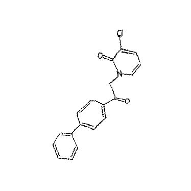 O=C(Cn1cccc(Cl)c1=O)c1ccc(-c2ccccc2)cc1